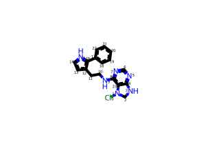 ClN1CNc2ncnc(NCCc3cc[nH]c3-c3ccccc3)c21